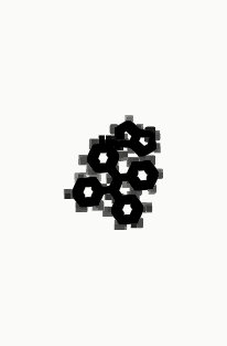 C1=[SiH]C2=CCSC2=C1.c1ccc(C(=C(c2ccccc2)c2ccccc2)c2ccccc2)cc1